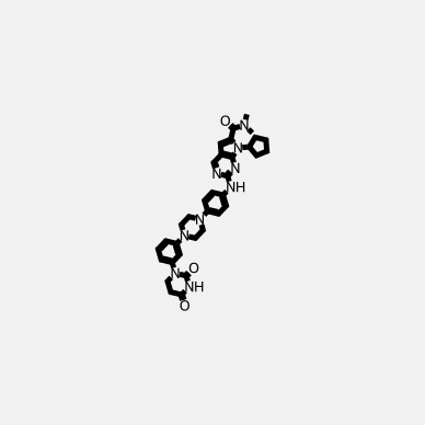 CN(C)C(=O)c1cc2cnc(Nc3ccc(N4CCN(c5cccc(N6CCC(=O)NC6=O)c5)CC4)cc3)nc2n1C1CCCC1